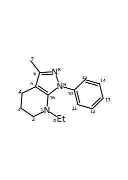 CCN1CCCc2c(C)nn(-c3ccccc3)c21